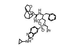 CC(C)CN(C[C@@H](O)[C@H](Cc1ccccc1)NC(=O)OC1C2CCC3C(OC2)OCC31)S(=O)(=O)c1ccc2nc(NC3CC3)sc2c1